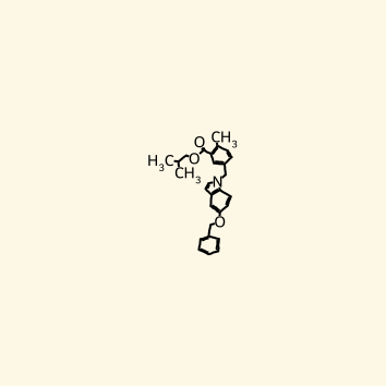 Cc1ccc(Cn2ccc3cc(OCc4ccccc4)ccc32)cc1C(=O)OCC(C)C